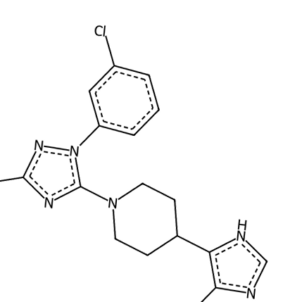 Cc1nc(N2CCC(c3[nH]cnc3C)CC2)n(-c2cccc(Cl)c2)n1